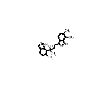 Cc1ccc2cn[nH]c2c1C(C)(C)CCc1n[nH]c2c(C(C)(C)C)c(C)ccc12